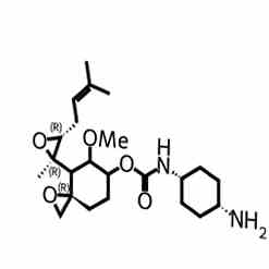 COC1C(OC(=O)N[C@H]2CC[C@@H](N)CC2)CC[C@]2(CO2)C1[C@@]1(C)O[C@@H]1CC=C(C)C